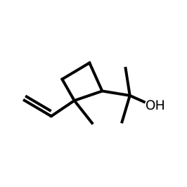 C=CC1(C)CCC1C(C)(C)O